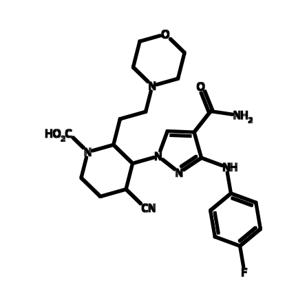 N#CC1CCN(C(=O)O)C(CCN2CCOCC2)C1n1cc(C(N)=O)c(Nc2ccc(F)cc2)n1